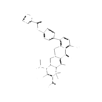 CN(C)[C@@H]1C(O)=C(C(N)=O)C(C)(O)C2C(O)=C3C(=O)c4c(O)ccc(-c5ccc(NC(=O)c6ccno6)cc5)c4CC3CC21